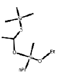 CCC[Si](C)(OCC)OC(C)S[Si](C)(C)C